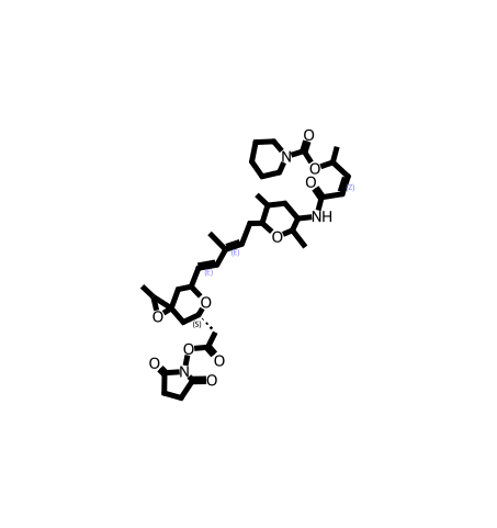 CC(/C=C/C1CC2(C[C@@H](CC(=O)ON3C(=O)CCC3=O)O1)OC2C)=C\CC1OC(C)C(NC(=O)/C=C\C(C)OC(=O)N2CCCCC2)CC1C